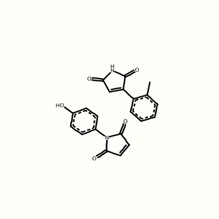 Cc1ccccc1C1=CC(=O)NC1=O.O=C1C=CC(=O)N1c1ccc(O)cc1